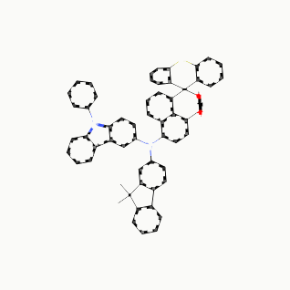 CC1(C)c2ccccc2-c2ccc(N(c3ccc4c(c3)c3ccccc3n4-c3ccccc3)c3ccc4c5c(cccc35)C3(c5ccccc5Sc5ccccc53)c3ccccc3-4)cc21